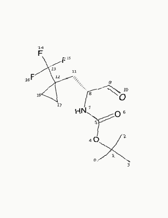 CC(C)(C)OC(=O)N[C@@H](C=O)CC1(C(F)(F)F)CC1